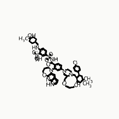 CC1(C)CC(c2ccc(Cl)cc2)=C2CN3CCN(c4ccc(C(=O)NS(=O)(=O)c5ccc(NCC6CCC(C)(O)CC6)c([NH+]([O-])O)c5)c(N5CCCOc6nc7[nH]ccc7cc65)c4)CC3COCCCO[C@@H]2C1